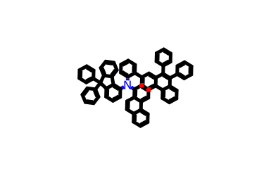 c1ccc(-c2c(-c3ccccc3)c3cc(-c4ccccc4N(c4cccc5c4-c4ccccc4C5(c4ccccc4)c4ccccc4)c4cccc5c4ccc4ccccc45)ccc3c3ccccc23)cc1